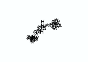 O=C(CCc1ccc2n1[B-](F)(F)[N+]1=C(c3ccc[nH]3)C=CC1=C2)NCc1ccc(NC(=O)CCCCCCC(=O)C(c2ccccc2)(c2ccccc2)c2ccccc2)cc1